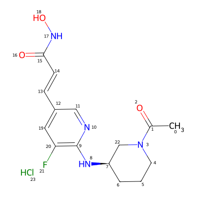 CC(=O)N1CCC[C@@H](Nc2ncc(C=CC(=O)NO)cc2F)C1.Cl